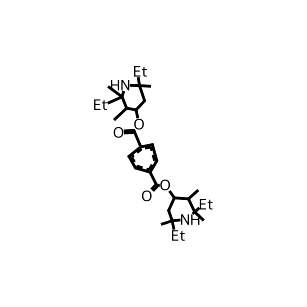 CCC1(C)CC(OC(=O)c2ccc(C(=O)OC3CC(C)(CC)NC(C)(CC)C3C)cc2)C(C)C(C)(CC)N1